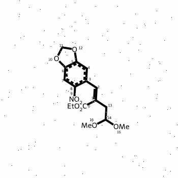 CCOC(=O)/C(=C\c1cc2c(cc1[N+](=O)[O-])OCO2)CC(OC)OC